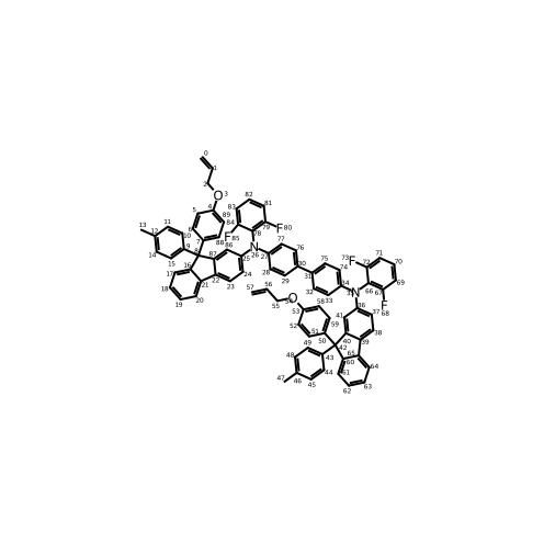 C=CCOc1ccc(C2(c3ccc(C)cc3)c3ccccc3-c3ccc(N(c4ccc(-c5ccc(N(c6ccc7c(c6)C(c6ccc(C)cc6)(c6ccc(OCC=C)cc6)c6ccccc6-7)c6c(F)cccc6F)cc5)cc4)c4c(F)cccc4F)cc32)cc1